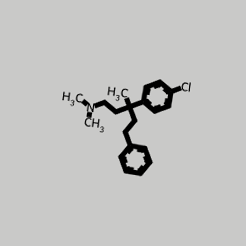 CN(C)CCC(C)(CCc1ccccc1)c1ccc(Cl)cc1